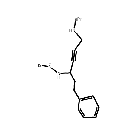 CCCNCC#CC(CCc1ccccc1)NNS